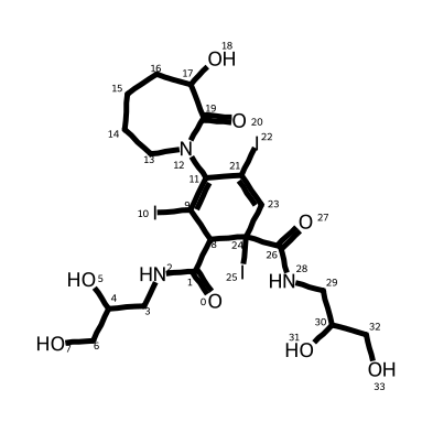 O=C(NCC(O)CO)C1C(I)=C(N2CCCCC(O)C2=O)C(I)=CC1(I)C(=O)NCC(O)CO